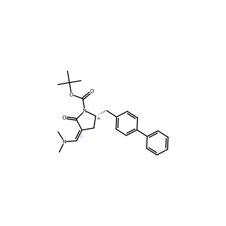 CN(C)/C=C1/C[C@@H](Cc2ccc(-c3ccccc3)cc2)N(C(=O)OC(C)(C)C)C1=O